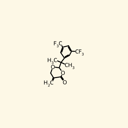 C=C1COC(C(C)(C)c2cc(C(F)(F)F)cc(C(F)(F)F)c2)OC1=O